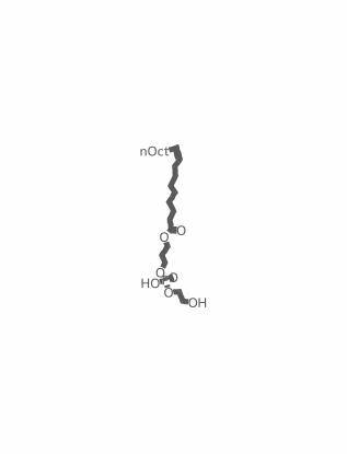 CCCCCCCC/C=C\CCCCCCCC(=O)OCCCOP(=O)(O)OCCO